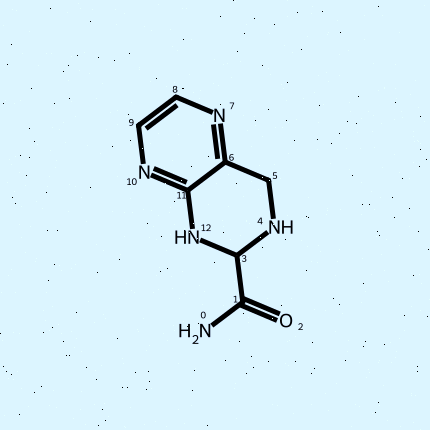 NC(=O)C1NCc2nccnc2N1